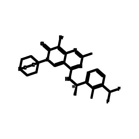 Cc1nc(N[C@H](C)c2cccc(C(F)F)c2C)c2cn(C34CCN(CC3)CC4)c(=O)c(Br)c2n1